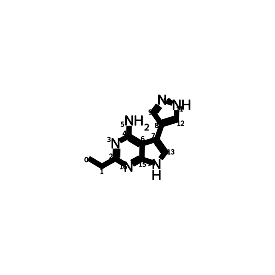 CCc1nc(N)c2c(-c3cn[nH]c3)c[nH]c2n1